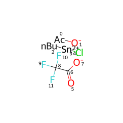 CC(=O)[O-].CCC[CH2][Sn+2][Cl].O=C([O-])C(F)(F)F